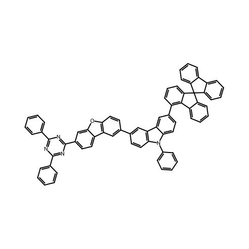 c1ccc(-c2nc(-c3ccccc3)nc(-c3ccc4c(c3)oc3ccc(-c5ccc6c(c5)c5cc(-c7cccc8c7-c7ccccc7C87c8ccccc8-c8ccccc87)ccc5n6-c5ccccc5)cc34)n2)cc1